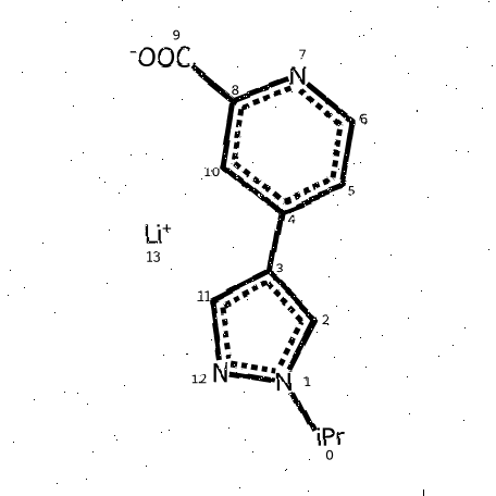 CC(C)n1cc(-c2ccnc(C(=O)[O-])c2)cn1.[Li+]